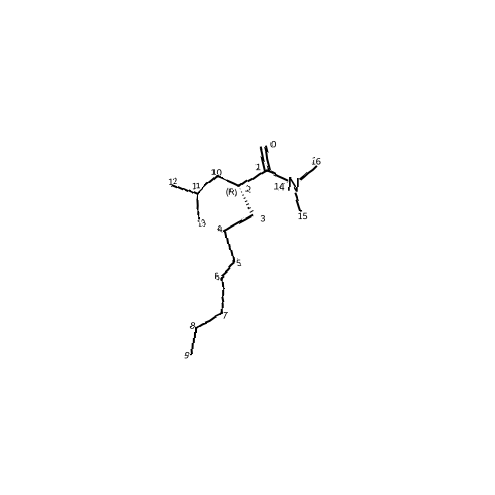 C=C([C@H](CCCCCCC)CC(C)C)N(C)C